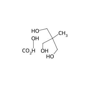 CC(CO)(CO)CO.O=C(O)O